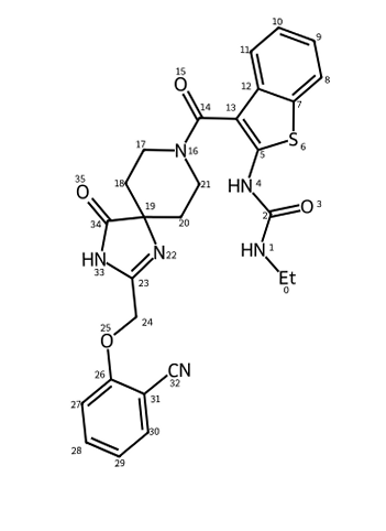 CCNC(=O)Nc1sc2ccccc2c1C(=O)N1CCC2(CC1)N=C(COc1ccccc1C#N)NC2=O